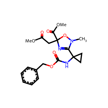 COC(=O)CC1(C(=O)OC)N=C(C2(NC(=O)OCc3ccccc3)CC2)N(C)O1